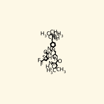 C[C@H](NCc1ccc2c(c1)nc(NC(=O)c1ccc(C(F)F)s1)n2CC1CCN(C(=O)C(C#N)=CC(C)(C)C)C1)C(C)(C)C